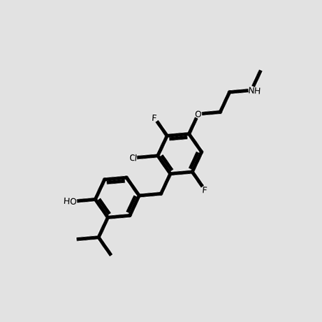 CNCCOc1cc(F)c(Cc2ccc(O)c(C(C)C)c2)c(Cl)c1F